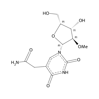 CO[C@@H]1[C@@H](O)[C@@H](CO)O[C@H]1n1cc(CC(N)=O)c(=O)[nH]c1=O